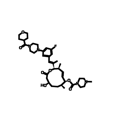 C/C(=C\c1cc(F)cc(N2CCN(C(=O)C3CCOCC3)CC2)c1)[C@H]1OC(=O)C[C@H](O)CC[C@H](C)[C@@H](OC(=O)N2CCN(C)CC2)/C=C/[C@@H]1C